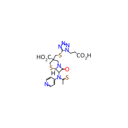 CC(=S)N(c1ccncc1)C1C(=O)N2CC(CSc3nnnn3CCC(=O)O)(C(=O)O)CS[C@H]12